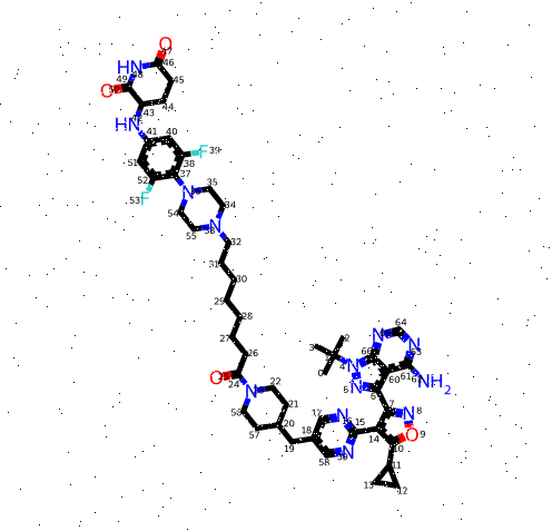 CC(C)(C)n1nc(-c2noc(C3CC3)c2-c2ncc(CC3CCN(C(=O)CCCCCCCN4CCN(c5c(F)cc(NC6CCC(=O)NC6=O)cc5F)CC4)CC3)cn2)c2c(N)ncnc21